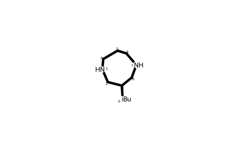 CCC(C)C1CNCCCNC1